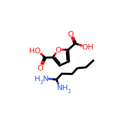 CCCCCC(N)N.O=C(O)c1ccc(C(=O)O)o1